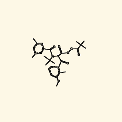 COc1cccc(C(=O)N(C(=O)OOC(=O)C(C)(C)C)N(C(=O)c2cc(C)cc(C)c2)C(C)(C)C)c1C